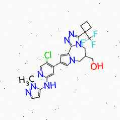 Cn1nccc1Nc1cc(-c2cc3n(c2)CC(CO)Cn2c-3nnc2C2(C(F)(F)F)CCC2)c(Cl)cn1